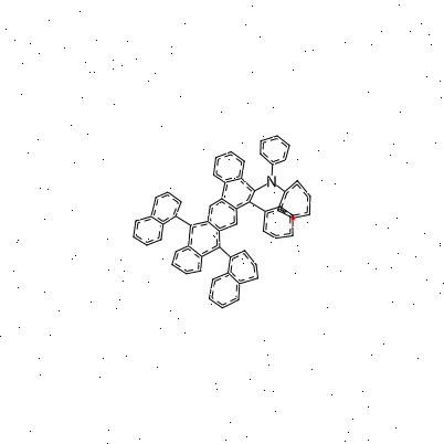 c1ccc(-c2c(N(c3ccccc3)c3ccccc3)c3ccccc3c3cc4c(-c5cccc6ccccc56)c5ccccc5c(-c5cccc6ccccc56)c4cc23)cc1